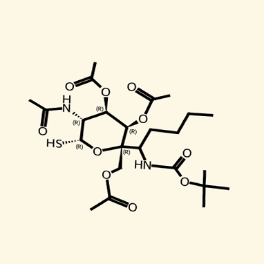 CCCCC(NC(=O)OC(C)(C)C)[C@]1(COC(C)=O)O[C@H](S)[C@H](NC(C)=O)[C@@H](OC(C)=O)[C@H]1OC(C)=O